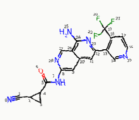 N#CC1CC1C(=O)Nc1cc2cc(-c3cnccc3C(F)(F)F)nc(N)c2cn1